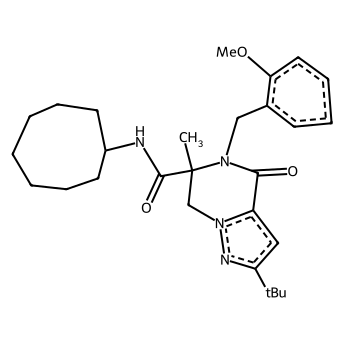 COc1ccccc1CN1C(=O)c2cc(C(C)(C)C)nn2CC1(C)C(=O)NC1CCCCCCC1